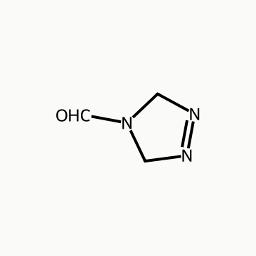 O=CN1CN=NC1